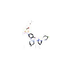 CCOC(=O)CS(=O)(=O)Nc1ccc(C(=O)Nc2cc(C)cc(N3CCC(F)(F)CC3)n2)c(N2CC[Si](C)(C)CC2)c1